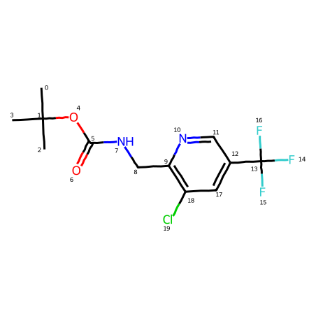 CC(C)(C)OC(=O)NCc1ncc(C(F)(F)F)cc1Cl